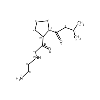 CC(C)CC(=O)N1CCCC1C(=O)CNCCN